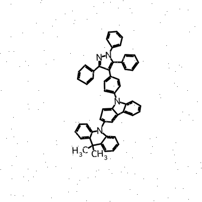 CC1(C)c2ccccc2N(c2ccc3c(c2)c2ccccc2n3-c2ccc(-c3c(-c4ccccc4)nn(-c4ccccc4)c3-c3ccccc3)cc2)c2ccccc21